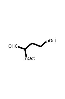 CCCCCCCCCCC(C=O)CCCCCCCC